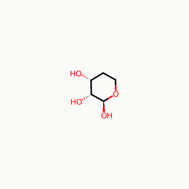 O[C@@H]1[C@H](O)CCO[C@H]1O